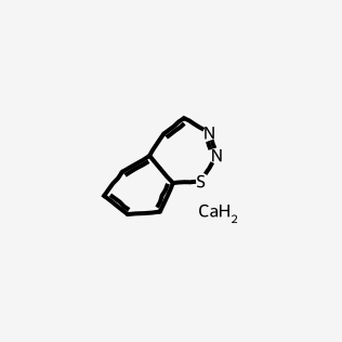 C1=Cc2ccccc2SN=N1.[CaH2]